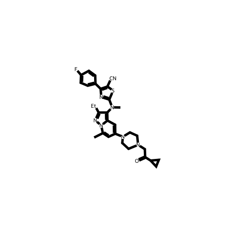 CCc1nn2c(C)cc(N3CCN(CC(=O)C4CC4)CC3)cc2c1N(C)c1nc(-c2ccc(F)cc2)c(C#N)s1